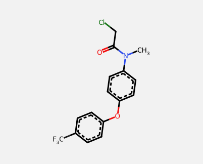 CN(C(=O)CCl)c1ccc(Oc2ccc(C(F)(F)F)cc2)cc1